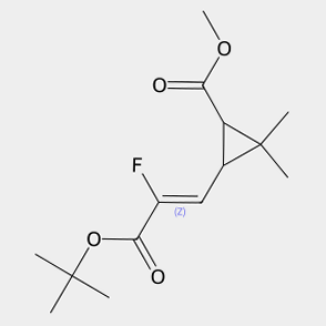 COC(=O)C1C(/C=C(\F)C(=O)OC(C)(C)C)C1(C)C